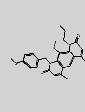 CCCn1c(=O)cc(C)c2cc3c(C)cc(=O)n(Cc4ccc(OC)cc4)c3c(OC)c21